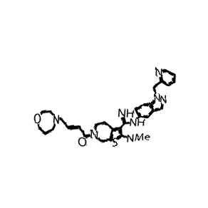 CNc1sc2c(c1C(=N)Nc1ccc3c(cnn3Cc3ccccn3)c1)CCN(C(=O)/C=C/CN1CCCOCC1)C2